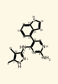 Cc1[nH]nc(Nc2nc(N)ncc2-c2cccc3sccc23)c1C